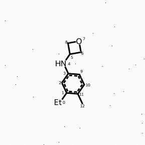 CCc1cc(NC2COC2)ccc1C